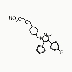 Cc1nn(CC2CCC(COCC(=O)O)CC2)c(-c2ccccc2)c1-c1ccc(F)cc1